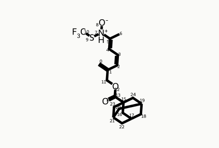 C=C(/C=C\C=C(/C)[NH+]([O-])SC(F)(F)F)COC(=O)C12CC3CC(CC(C3)C1)C2